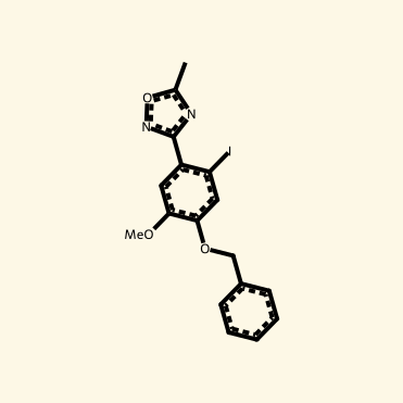 COc1cc(-c2noc(C)n2)c(I)cc1OCc1ccccc1